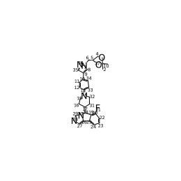 CC1(C)OC[C@H](Cn2cc(-c3ccc(N4CCC(C5c6c(F)cccc6-c6cncn65)CC4)cc3)cn2)O1